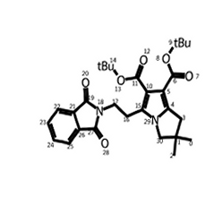 CC1(C)Cc2c(C(=O)OC(C)(C)C)c(C(=O)OC(C)(C)C)c(CCN3C(=O)c4ccccc4C3=O)n2C1